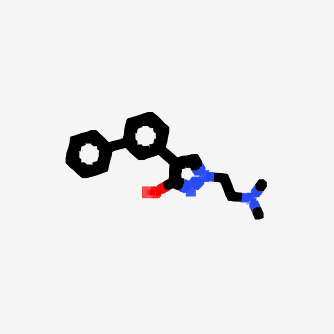 CN(C)CCn1cc(-c2cccc(-c3ccccc3)c2)c(O)n1